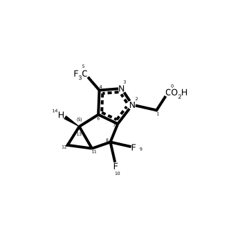 O=C(O)Cn1nc(C(F)(F)F)c2c1C(F)(F)C1C[C@H]21